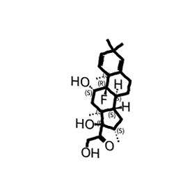 C[C@H]1C[C@H]2[C@@H]3CCC4=CC(C)(C)C=C[C@]4(C)[C@@]3(F)[C@@H](O)C[C@]2(C)[C@@]1(O)C(=O)CO